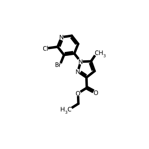 CCOC(=O)c1cc(C)n(-c2ccnc(Cl)c2Br)n1